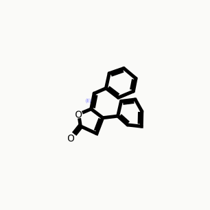 O=C1C=C(c2ccccc2)/C(=C\c2ccccc2)O1